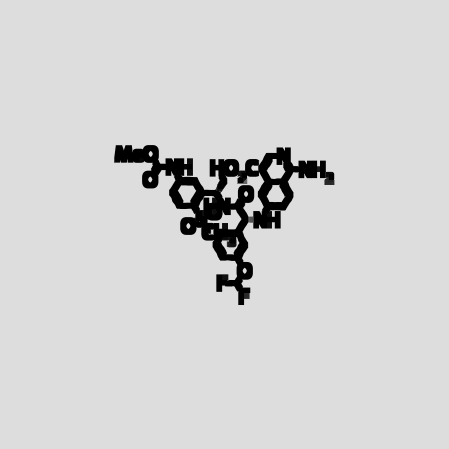 COC(=O)Nc1ccc(S(C)(=O)=O)c([C@@H](CC(=O)O)NC(=O)[C@H](Nc2ccc3c(N)nccc3c2)c2cccc(OC(F)F)c2)c1